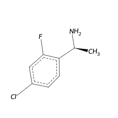 C[C@H](N)c1ccc(Cl)cc1F